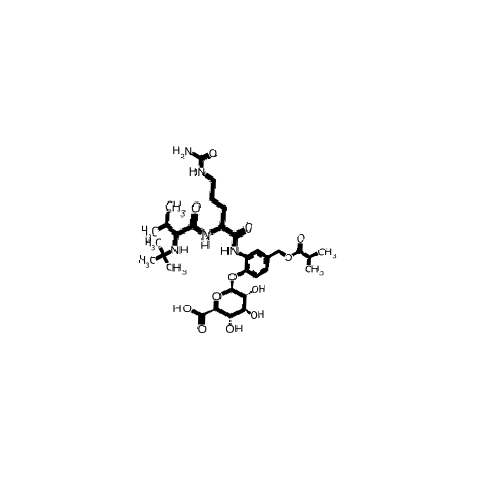 CC(C)C(=O)OCc1ccc(O[C@@H]2O[C@H](C(=O)O)[C@@H](O)[C@H](O)[C@H]2O)c(NC(=O)C(CCCNC(N)=O)NC(=O)C(NC(C)(C)C)C(C)C)c1